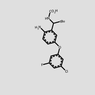 CC(C)(C)C(NC(=O)O)c1cc(Oc2cc(F)cc(Cl)c2)ccc1N